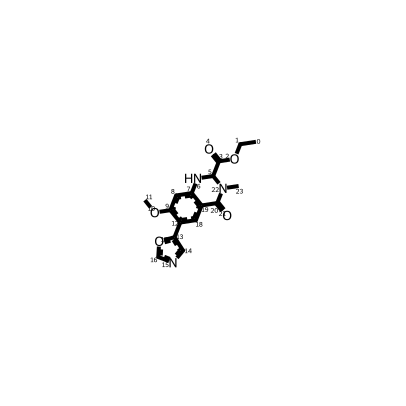 CCOC(=O)C1Nc2cc(OC)c(-c3cnco3)cc2C(=O)N1C